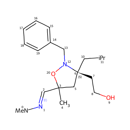 CN/N=C/C1(C)C[C@@](CCO)(CC(C)C)N(Cc2ccccc2)O1